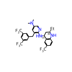 CC[C@@H]1C[C@H](Nc2ncc(N(C)C)cc2Cc2cc(C(F)(F)F)cc(C(F)(F)F)c2)c2cc(C(F)(F)F)ccc2N1